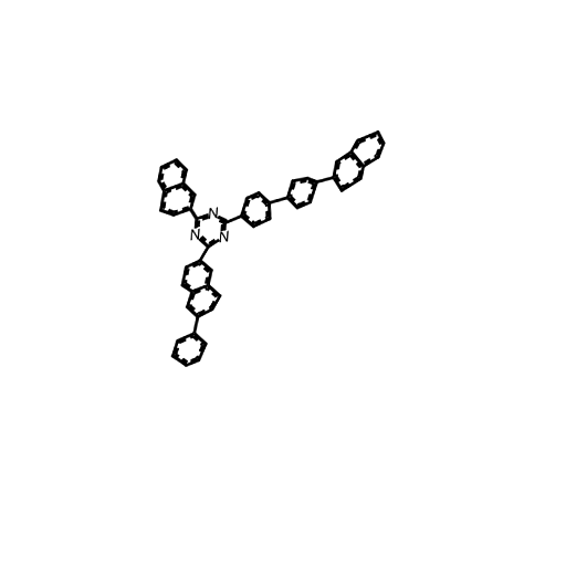 c1ccc(-c2ccc3cc(-c4nc(-c5ccc(-c6ccc(-c7ccc8ccccc8c7)cc6)cc5)nc(-c5ccc6ccccc6c5)n4)ccc3c2)cc1